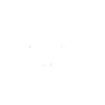 CC(=O)CC(CC(C)=O)(CC(C)=O)CC(C)=O